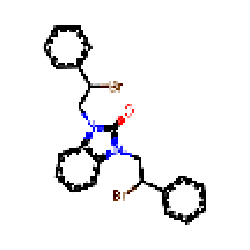 O=c1n(CC(Br)c2ccccc2)c2ccccc2n1CC(Br)c1ccccc1